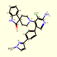 Cn1ccc(-c2ccc(-c3cnc(N)c(Cl)c3N3CCC4(CC3)C(=O)Nc3ccccc34)cc2)n1